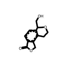 O=C1OCc2c1ccc1c2CCOC1CO